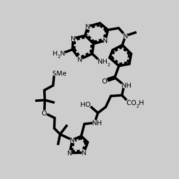 CSCCC(C)(C)OCCC(C)(C)n1nncc1CNC(O)CCC(NC(=O)c1ccc(N(C)Cc2cnc3nc(N)nc(N)c3n2)cc1)C(=O)O